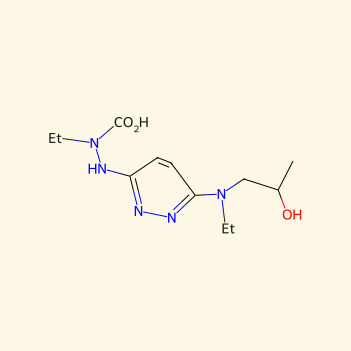 CCN(Nc1ccc(N(CC)CC(C)O)nn1)C(=O)O